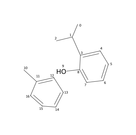 CC(C)c1ccccc1O.Cc1ccccc1